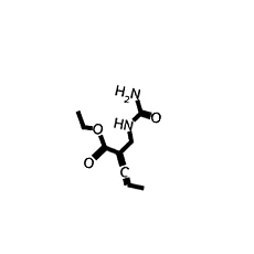 CC=C=C(CNC(N)=O)C(=O)OCC